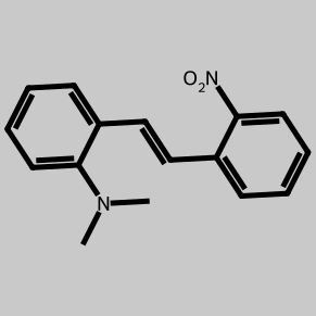 CN(C)c1ccccc1/C=C/c1ccccc1[N+](=O)[O-]